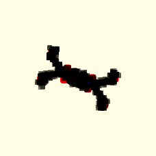 C[Si](C)(C)O[Si](C)(C)CCCCCCC(CCCCCC[Si](C)(C)O[Si](C)(C)C)N1C(=O)c2ccc3c4ccc5c6c(ccc(c7ccc(c2c37)C1=O)c64)C(=O)N(C(CCCCCC[Si](C)(C)O[Si](C)(C)C)CCCCCC[Si](C)(C)O[Si](C)(C)C)C5=O